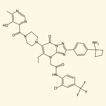 CCc1c(N2CCN(C(=O)c3ncnc(C)c3O)CC2)c(=O)n2nc(-c3ccc(C4(N)CCC4)cc3)nc2n1CC(=O)Nc1ccc(C(F)(F)F)cc1Cl